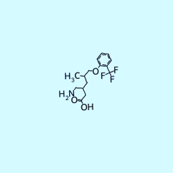 CC(COc1ccccc1C(F)(F)F)CC(CN)CC(=O)O